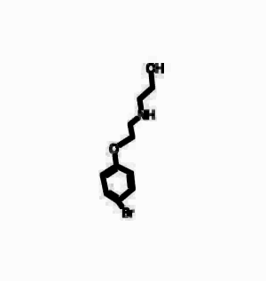 OCCNCCOc1ccc(Br)cc1